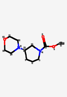 CC(C)(C)OC(=O)N1CCC[C@H](N2CCOCC2)C1